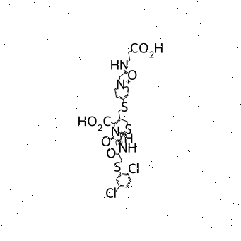 O=C(O)CCNC(=O)C[n+]1ccc(SCC2=C(C(=O)O)N3C(=O)[C@H](NC(=O)CSc4cc(Cl)ccc4Cl)[C@H]3SC2)cc1